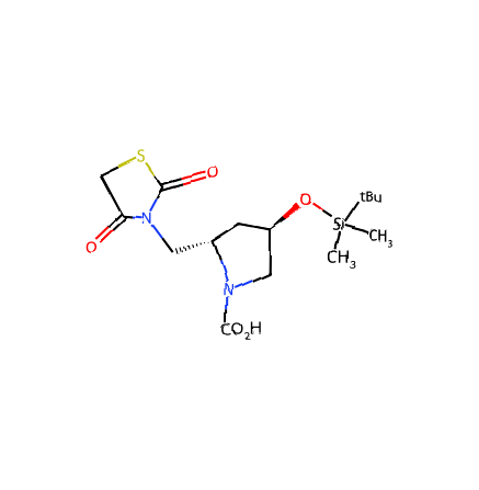 CC(C)(C)[Si](C)(C)O[C@@H]1C[C@@H](CN2C(=O)CSC2=O)N(C(=O)O)C1